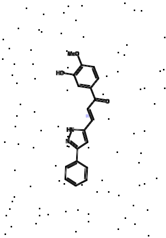 COc1ccc(C(=O)/C=C/c2cc(-c3ccccc3)n[nH]2)cc1O